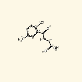 Cc1ccc(Cl)c(C(=O)NCC(=O)O)c1